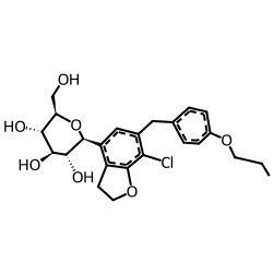 CCCOc1ccc(Cc2cc([C@@H]3O[C@H](CO)[C@@H](O)[C@H](O)[C@H]3O)c3c(c2Cl)OCC3)cc1